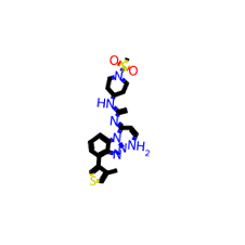 C=C(/N=C(\C=C/N)n1nnc2c(-c3cscc3C)cccc21)NC1CCN(S(C)(=O)=O)CC1